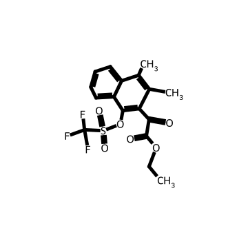 CCOC(=O)C(=O)c1c(C)c(C)c2ccccc2c1OS(=O)(=O)C(F)(F)F